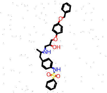 CC(Cc1ccc(NS(=O)(=O)c2ccccc2)cc1)NCC(O)COc1ccc(OCc2ccccc2)cc1